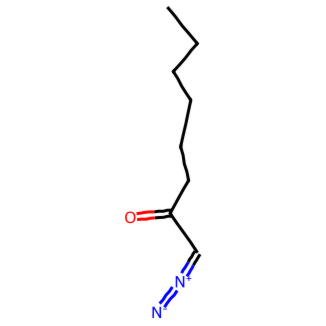 CCCCCCC(=O)C=[N+]=[N-]